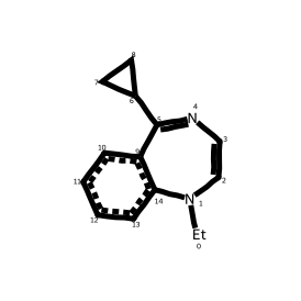 CCN1C=CN=C(C2CC2)c2ccccc21